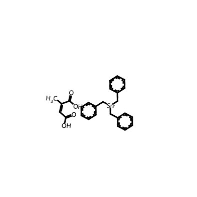 CC(=CC(=O)O)C(=O)O.c1ccc([CH2][Sn]([CH2]c2ccccc2)[CH2]c2ccccc2)cc1